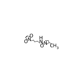 CCC1CCN(C(=O)NCCCCCN2C(=O)C=CC2=O)C1